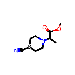 COC(=O)C(C)N1CCB(C#N)CC1